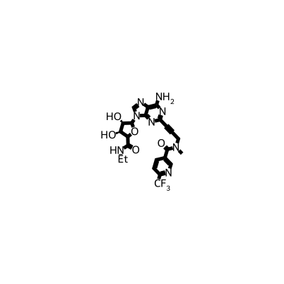 CCNC(=O)C1OC(n2cnc3c(N)nc(C#CCN(C)C(=O)c4ccc(C(F)(F)F)nc4)nc32)[C@H](O)[C@@H]1O